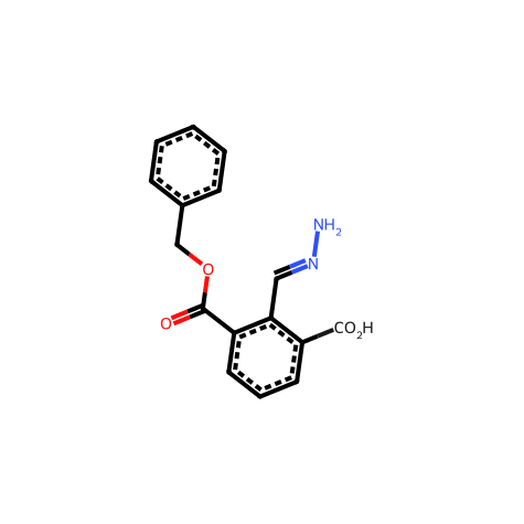 NN=Cc1c(C(=O)O)cccc1C(=O)OCc1ccccc1